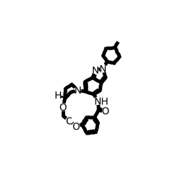 CC1CCC(n2cc3cc4c(cc3n2)N2CC[C@H](C2)OCCOc2cccc(c2)C(=O)N4)CC1